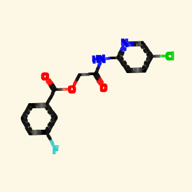 O=C(COC(=O)c1cccc(F)c1)Nc1ccc(Cl)cn1